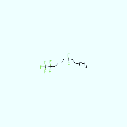 CCCC(F)(F)CCCCC(F)(F)C(F)(F)F